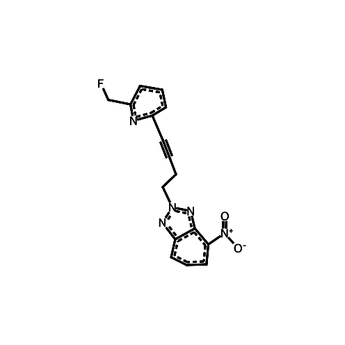 O=[N+]([O-])c1cccc2nn(CCC#Cc3cccc(CF)n3)nc12